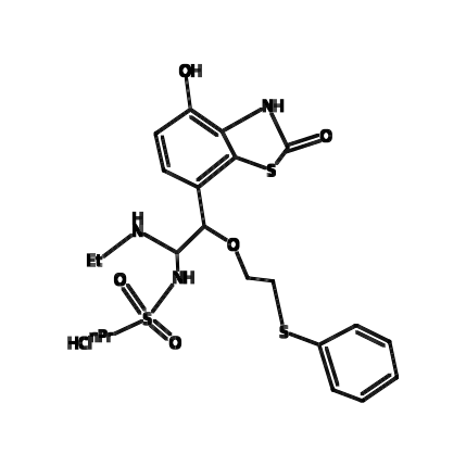 CCCS(=O)(=O)NC(NCC)C(OCCSc1ccccc1)c1ccc(O)c2[nH]c(=O)sc12.Cl